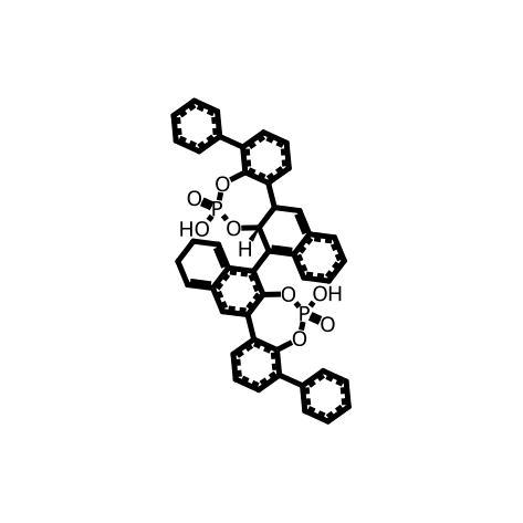 O=P1(O)Oc2c(-c3ccccc3)cccc2-c2cc3c(c(C4=c5ccccc5=CC5c6cccc(-c7ccccc7)c6OP(=O)(O)O[C@@H]45)c2O1)=CCCC=3